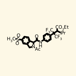 CCOC(=O)C(C(C)C)C(c1ccc(NC(=O)C2c3ccc(S(C)(=O)=O)cc3CN2C(C)=O)cc1)(C(F)(F)F)C(F)(F)F